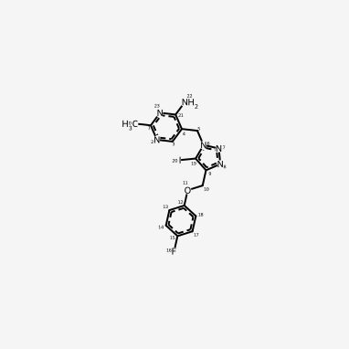 Cc1ncc(Cn2nnc(COc3ccc(F)cc3)c2I)c(N)n1